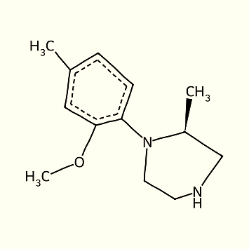 COc1cc(C)ccc1N1CCNC[C@@H]1C